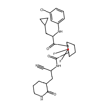 N#CC(CC1CCCNC1=O)NC(=O)C1C2CCC(CC2(F)F)N1C(=O)C(CC1CC1)Nc1cccc(Cl)c1